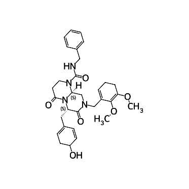 COC1=C(OC)C(CN2C[C@@H]3N(C(=O)NCc4ccccc4)CCC(=O)N3[C@@H](CC3=CCC(O)C=C3)C2=O)=CCC1